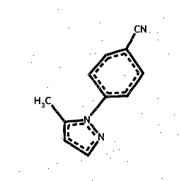 Cc1ccnn1-c1ccc(C#N)cc1